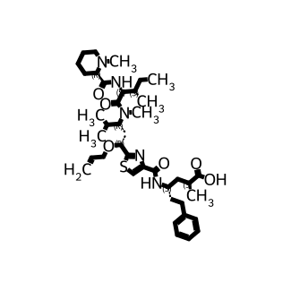 C=CCO[C@H](C[C@H](C(C)C)N(C)C(=O)[C@@H](NC(=O)[C@H]1CCCCN1C)[C@@H](C)CC)c1nc(C(=O)N[C@@H](CCc2ccccc2)C[C@H](C)C(=O)O)cs1